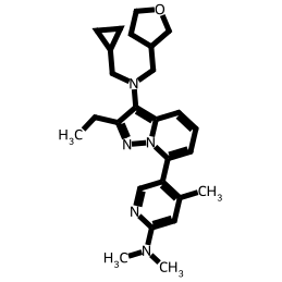 CCc1nn2c(-c3cnc(N(C)C)cc3C)cccc2c1N(CC1CC1)CC1CCOC1